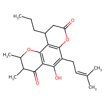 CCCC1CC(=O)Oc2c(CC=C(C)C)c(O)c3c(c21)OC(C)C(C)C3=O